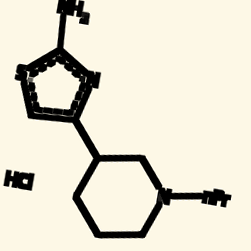 CCCN1CCCC(c2csc(N)n2)C1.Cl